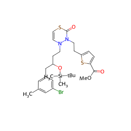 COC(=O)c1ccc(CCN2C(=O)SC=CN2CCC(Cc2cc(C)cc(Br)c2)O[Si](C)(C)C(C)(C)C)s1